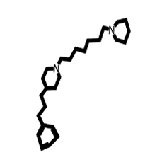 c1ccc(CCCC2CCN(CCCCCCCN3CCCCC3)CC2)cc1